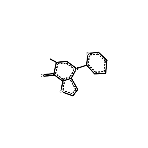 Cc1cn(-c2[c]cccn2)c2ccoc2c1=O